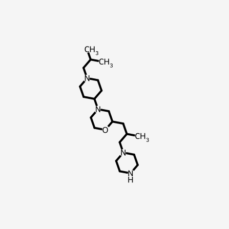 CC(C)CN1CCC(N2CCOC(CC(C)CN3CCNCC3)C2)CC1